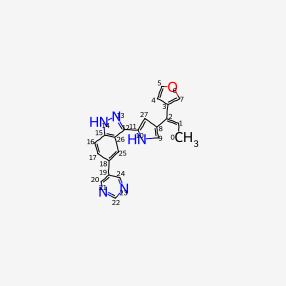 C/C=C(/c1ccoc1)c1c[nH]c(-c2n[nH]c3ccc(-c4cncnc4)cc23)c1